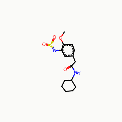 COc1ccc(CC(=O)NC2CCCCC2)cc1N=S(=O)=O